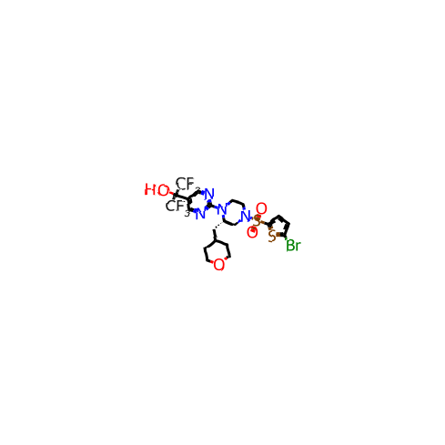 O=S(=O)(c1ccc(Br)s1)N1CCN(c2ncc(C(O)(C(F)(F)F)C(F)(F)F)cn2)[C@@H](CC2CCOCC2)C1